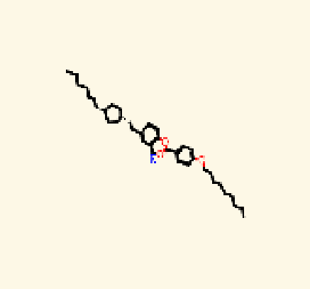 CCCCCCCCCOc1ccc(C(=O)Oc2ccc(CC[C@H]3CC[C@H](CCCCCCC)CC3)cc2C#N)cc1